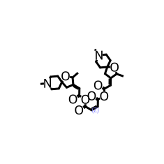 CC1OC2(CCN(C)CC2)CC1=CC(=O)OC(=O)/C=C\C(=O)OC(=O)C=C1CC2(CCN(C)CC2)OC1C